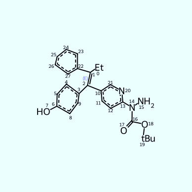 CC/C(=C(/c1ccc(O)cc1)c1ccc(N(N)C(=O)OC(C)(C)C)nc1)c1ccccc1